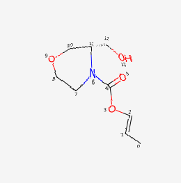 CC=COC(=O)N1CCOC[C@@H]1CO